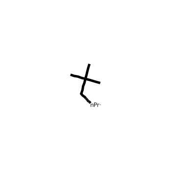 CC[CH]CC(C)(C)C